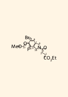 CCOC(=O)CCC(=O)N1Cc2cc(Br)c(OCOC)c(F)c2C1